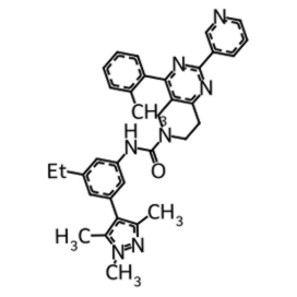 CCc1cc(NC(=O)N2CCc3nc(-c4cccnc4)nc(-c4ccccc4C)c3C2)cc(-c2c(C)nn(C)c2C)c1